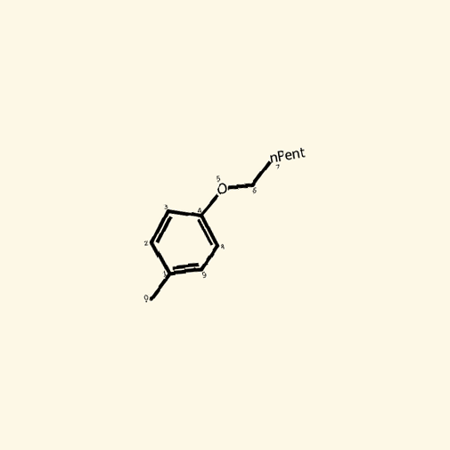 [CH2]c1ccc(OCCCCCC)cc1